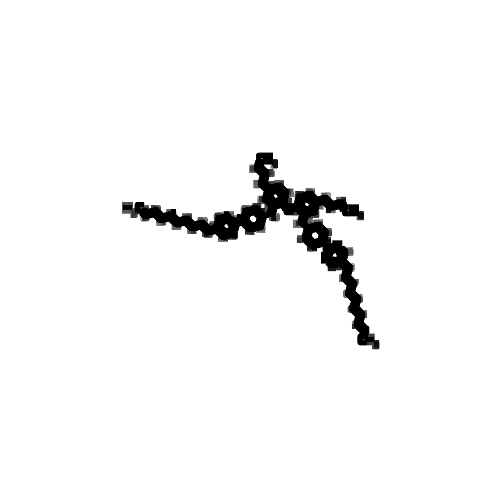 CCCCCCCCCCc1cnc([C@H]2CC[C@H](Cc3cc(CCCC)ccc3Oc3ccc(CCCC)cc3C[C@H]3CC[C@H](c4ncc(CCCCCCCCCC)cn4)CC3)CC2)nc1